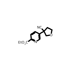 CCOC(=O)c1ccc(C2(C#N)CCOC2)cn1